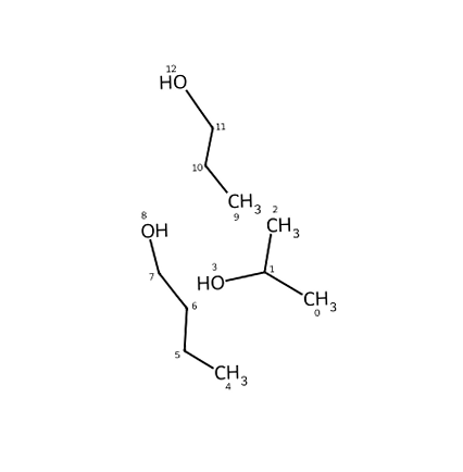 CC(C)O.CCCCO.CCCO